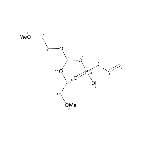 C=CCP(=O)(O)OC(OCCOC)OCCOC